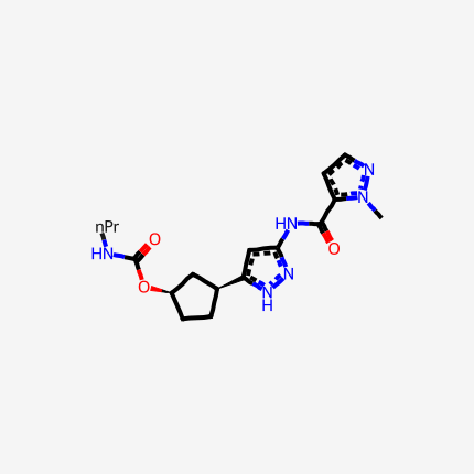 CCCNC(=O)O[C@@H]1CC[C@H](c2cc(NC(=O)c3ccnn3C)n[nH]2)C1